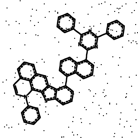 C1=CN(c2ccccc2)c2c3sc4cccc(-c5cccc6c(-c7nc(-c8ccccc8)nc(-c8ccccc8)n7)cccc56)c4c3cc3cccc1c23